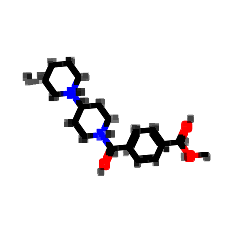 COC(=O)c1ccc(C(=O)N2CCC(N3CCC[C@@H](C)C3)CC2)cc1